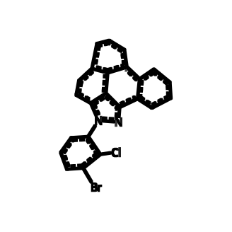 Clc1c(Br)cccc1-n1nc2c3ccccc3c3cccc4ccc1c2c43